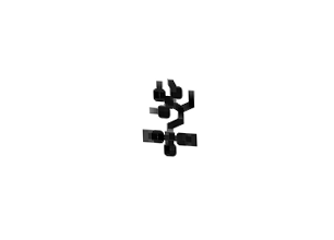 CCC(CCP(=O)(O)O)[Si](OC)(OC)OC